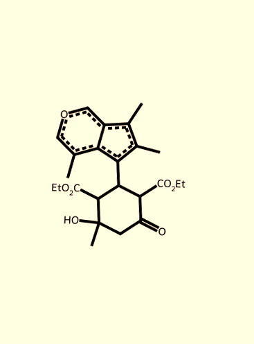 CCOC(=O)C1C(=O)CC(C)(O)C(C(=O)OCC)C1c1c(C)c(C)c2cocc(C)c1-2